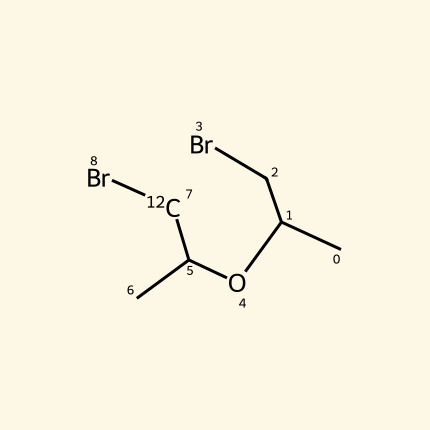 CC(CBr)OC(C)[12CH2]Br